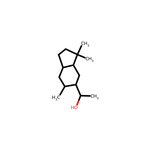 CC(O)C1CC2C(CCC2(C)C)CC1C